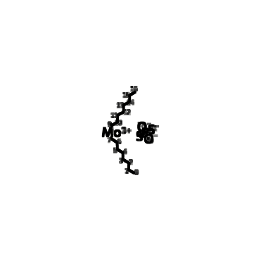 CCCCCCC[CH2][Mo+3][CH2]CCCCCCC.[O-]P([O-])(=S)[S-]